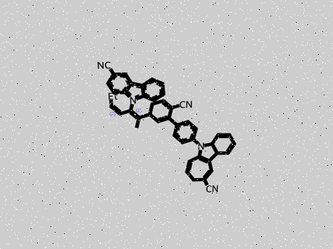 CC/C=C\C(=C(/C)C1C=C(c2ccc(N3C4=C(C=C(C#N)CC=C4)C4C=CC=CC43)cc2)C(C#N)=CC1)n1c2ccccc2c2cc(C#N)ccc21